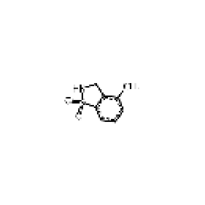 Cc1cccc2c1CNS2(=O)=O